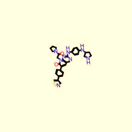 O=C(Cn1c(=O)c(-c2ccc(-c3cnsc3)cc2)cc2cnc(Nc3ccc(NC4CCNC4)cc3)nc21)N1CCCC1